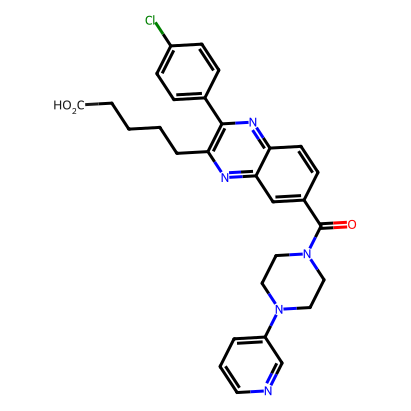 O=C(O)CCCCc1nc2cc(C(=O)N3CCN(c4cccnc4)CC3)ccc2nc1-c1ccc(Cl)cc1